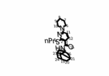 CCCSc1nc(N2C[CH]CCC2)ccc1C(=O)NC12CC3CC(CC(C3)C1)C2